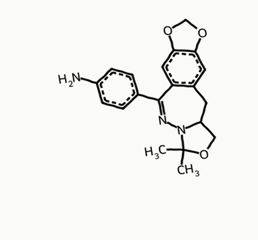 CC1(C)OCC2Cc3cc4c(cc3C(c3ccc(N)cc3)=NN21)OCO4